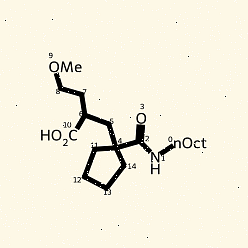 CCCCCCCCNC(=O)C1(CC(CCOC)C(=O)O)CCCC1